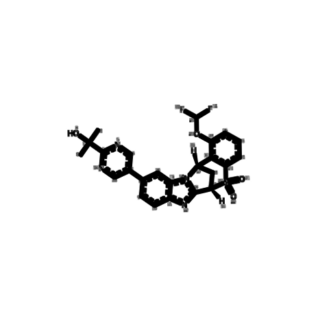 CC(C)(O)c1ncc(-c2ccc3nc4n(c3c2)[C@H]2C[C@@H]4S(=O)(=O)c3cccc(OC(F)F)c32)cn1